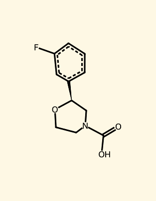 O=C(O)N1CCO[C@@H](c2cccc(F)c2)C1